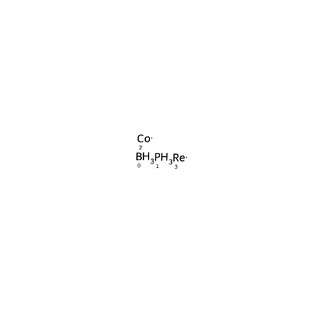 B.P.[Co].[Re]